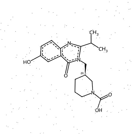 CC(C)c1nc2ccc(O)cc2c(=O)n1C[C@@H]1CCCN(C(=O)O)C1